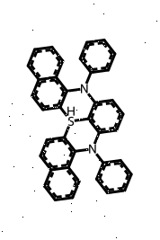 c1ccc(N2c3cccc4c3[SH](c3ccc5ccccc5c32)c2ccc3ccccc3c2N4c2ccccc2)cc1